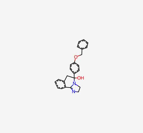 OC1(c2ccc(OCc3ccccc3)cc2)Cc2ccccc2C2=NCCN21